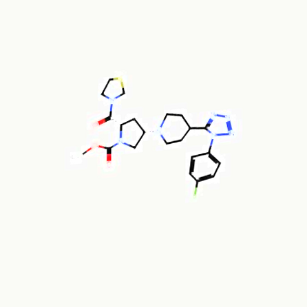 CC(C)(C)OC(=O)N1C[C@@H](N2CCC(c3nnnn3-c3ccc(F)cc3)CC2)C[C@H]1C(=O)N1CCSC1